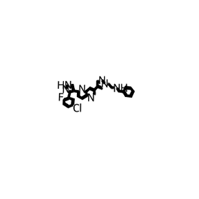 Fc1ccc(Cl)cc1-c1n[nH]cc1-c1ccc2ncc(-c3cnn(CCNCc4ccccc4)c3)cc2n1